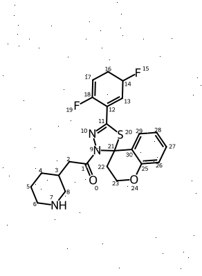 O=C(CC1CCCNC1)N1N=C(C2=CC(F)CC=C2F)SC12CCOc1ccccc12